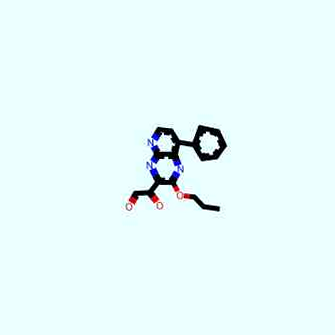 CCCOc1nc2c(-c3ccccc3)ccnc2nc1C(=O)C=O